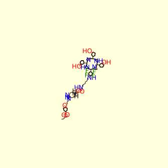 CCC1COC(c2ccc(OCCCn3nnc4c3CC[C@H]3[C@@H](CC4)[C@H]3COC(=O)NCCCCCCNc3c(F)c(F)c(-c4c5nc(c(-c6cccc(O)c6)c6ccc([nH]6)c(-c6cccc(O)c6)c6nc(c(-c7cccc(O)c7)c7ccc4[nH]7)C=C6)C=C5)c(F)c3F)cc2)O1